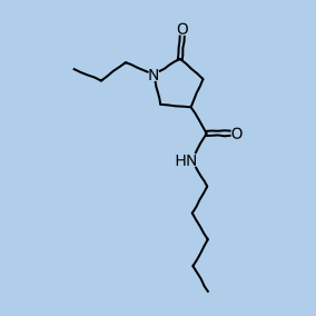 CCCCCNC(=O)C1CC(=O)N(CCC)C1